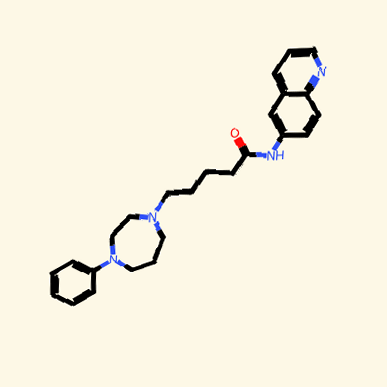 O=C(CCCCN1CCCN(c2ccccc2)CC1)Nc1ccc2ncccc2c1